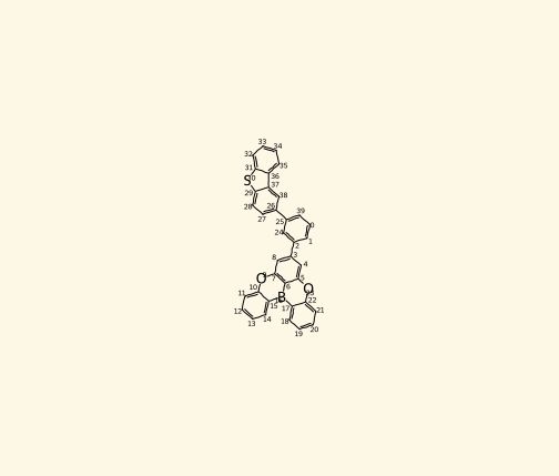 c1cc(-c2cc3c4c(c2)Oc2ccccc2B4c2ccccc2O3)cc(-c2ccc3sc4ccccc4c3c2)c1